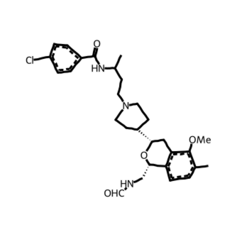 COc1c(C)ccc2c1C[C@@H](C1CCN(CCC(C)NC(=O)c3ccc(Cl)cc3)CC1)O[C@H]2CNC=O